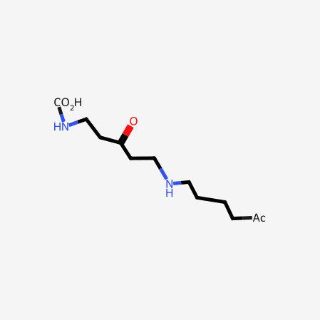 CC(=O)CCCCNCCC(=O)CCNC(=O)O